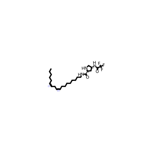 CCCCC/C=C\C/C=C\CCCCCCCCNC(=O)[C@@H]1C[C@H](NC(=O)C(F)(F)F)CN1